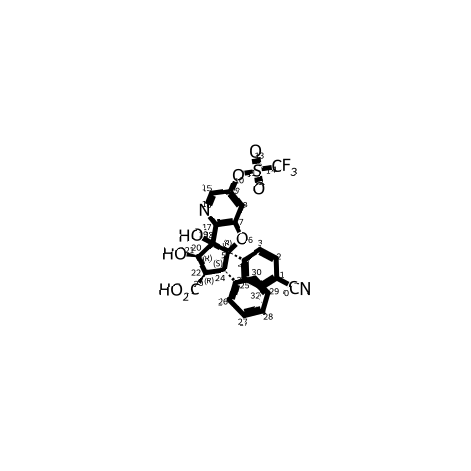 N#Cc1ccc([C@@]23Oc4cc(OS(=O)(=O)C(F)(F)F)cnc4C2(O)[C@H](O)[C@H](C(=O)O)[C@H]3c2ccccc2)cc1